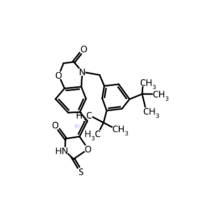 CC(C)(C)c1cc(CN2C(=O)COc3ccc(/C=C4/OC(=S)NC4=O)cc32)cc(C(C)(C)C)c1